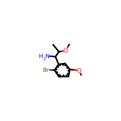 COc1ccc(Br)c(C(N)C(C)OC)c1